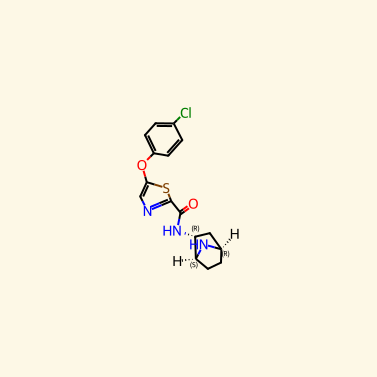 O=C(N[C@@H]1C[C@H]2CC[C@@H]1N2)c1ncc(Oc2ccc(Cl)cc2)s1